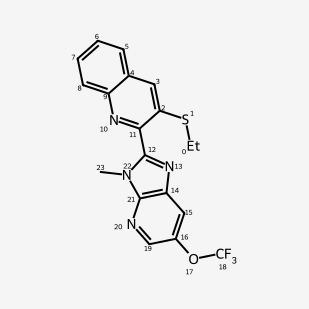 CCSc1cc2ccccc2nc1-c1nc2cc(OC(F)(F)F)cnc2n1C